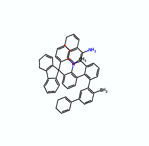 Bc1ccc(C2=CCCC=C2)cc1-c1cccc(-c2ccc3c(c2N)C=CCC3)c1-c1cccc2c1N(C)c1ccccc1C21C2=C(CCC=C2)c2ccccc21